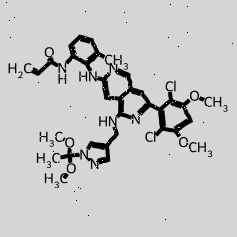 C=CC(=O)Nc1cccc(C)c1Nc1cc2c(NCc3cnn(C(C)(OC)OC)c3)nc(-c3c(Cl)c(OC)cc(OC)c3Cl)cc2cn1